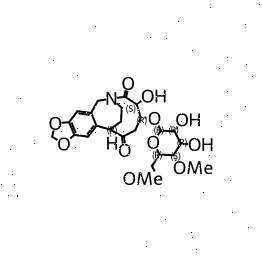 COC[C@H]1O[C@@H](O[C@@H]2CC(=O)[C@@H]3CCN(Cc4cc5c(cc43)OCO5)C(=O)[C@H]2O)[C@H](O)[C@@H](O)[C@@H]1OC